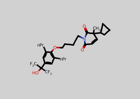 CCCc1cc(C(O)(C(F)(F)F)C(F)(F)F)cc(CCC)c1OCCCCN1C(=O)C=CC(C)(C2CCC2)C1=O